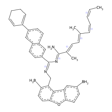 Bc1ccc2oc3ccc(B)c(C\N=C(/N=C(N)/C(C)=C/C=C(C)/C=C\C=C/C)c4ccc5cc(C6=CCCC=C6)ccc5c4)c3c2c1